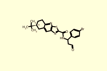 CC(C)(C)[C@H]1CCc2nc3sc(C(=O)NC(CC=O)c4ccc(Br)cc4)nc3cc2C1